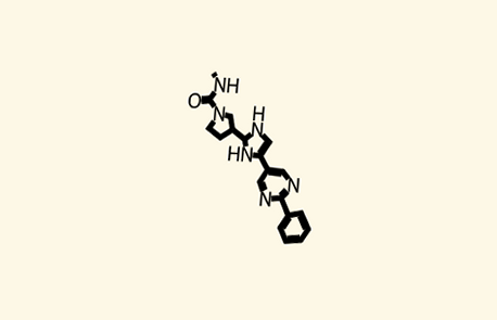 CNC(=O)N1CCC(C2NC=C(c3cnc(-c4ccccc4)nc3)N2)C1